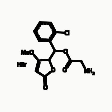 Br.COC1=CC(=O)OC1C(OC(=O)CN)c1ccccc1Cl